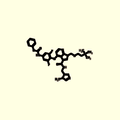 Cn1cncc1CNC(=O)c1cn(COCC[Si](C)(C)C)c2nccc(Oc3c(F)cc(NC(=O)Oc4ccccc4)cc3F)c12